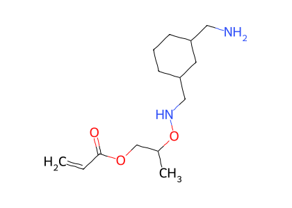 C=CC(=O)OCC(C)ONCC1CCCC(CN)C1